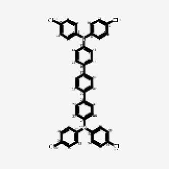 Clc1ccc(N(c2ccc(Cl)cc2)c2ccc(-c3ccc(-c4ccc(N(c5ccc(Cl)cc5)c5ccc(Cl)cc5)cc4)cc3)cc2)cc1